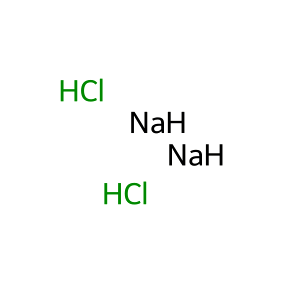 Cl.Cl.[NaH].[NaH]